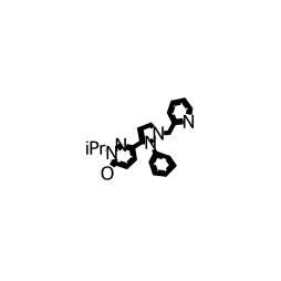 CC(C)n1nc(C2=CCN(Cc3ccccn3)N2c2ccccc2)ccc1=O